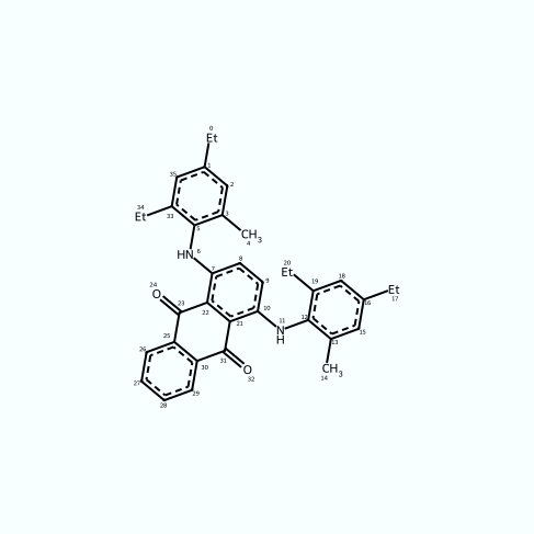 CCc1cc(C)c(Nc2ccc(Nc3c(C)cc(CC)cc3CC)c3c2C(=O)c2ccccc2C3=O)c(CC)c1